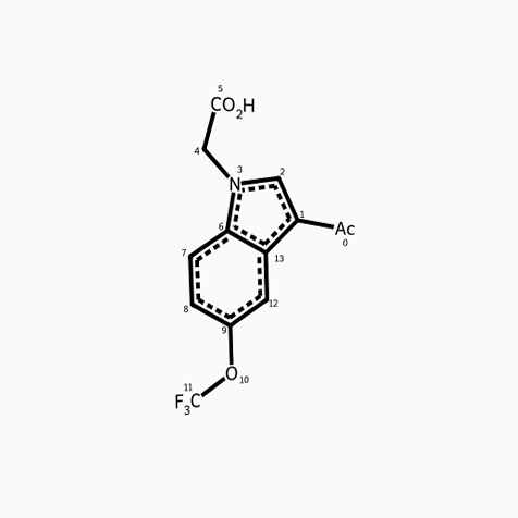 CC(=O)c1cn(CC(=O)O)c2ccc(OC(F)(F)F)cc12